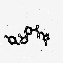 Cn1cnc(CNC(=O)c2ccnc(N3CCN(Cc4ccc(F)cc4)C3=O)c2)c1